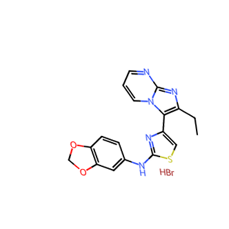 Br.CCc1nc2ncccn2c1-c1csc(Nc2ccc3c(c2)OCO3)n1